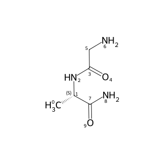 C[C@H](NC(=O)CN)C(N)=O